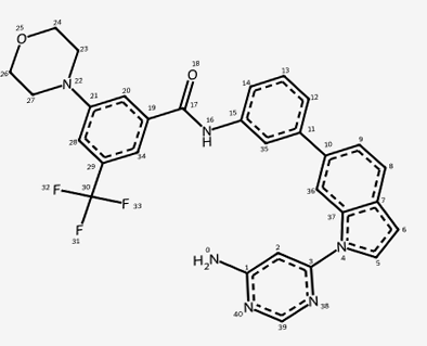 Nc1cc(-n2ccc3ccc(-c4cccc(NC(=O)c5cc(N6CCOCC6)cc(C(F)(F)F)c5)c4)cc32)ncn1